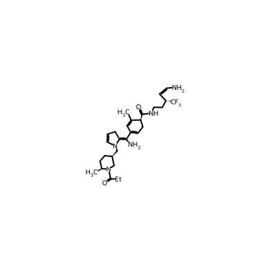 CCC(=O)N1C[C@H](CN2C=CC/C2=C(/N)C2=CC[C@H](C(=O)NCC[C@H](/C=C\N)C(F)(F)F)C(C)=C2)CC[C@@H]1C